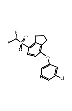 O=S(=O)(c1ccc(Oc2cncc(Cl)c2)c2c1CCC2)C(F)F